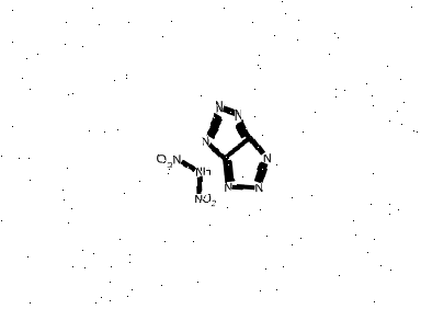 N1=NC2=NN=NC2=N1.O=[N+]([O-])N[N+](=O)[O-]